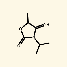 CC1OC(=O)N(C(C)C)C1=N